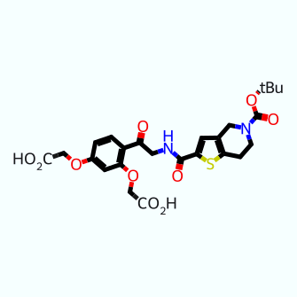 CC(C)(C)OC(=O)N1CCc2sc(C(=O)NCC(=O)c3ccc(OCC(=O)O)cc3OCC(=O)O)cc2C1